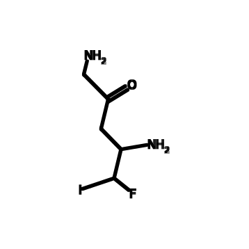 NCC(=O)CC(N)C(F)I